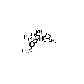 COc1ccc(OC)c(CC(=O)N[C@@H](Cc2coc3c(C)cccc23)B(O)O)c1